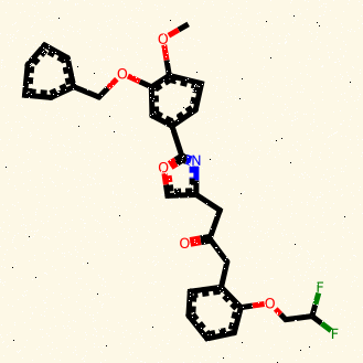 COc1ccc(-c2nc(CC(=O)Cc3ccccc3OCC(F)F)co2)cc1OCc1ccccc1